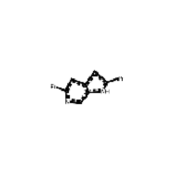 CCc1cc2cc(C(C)C)[nH]c2cn1